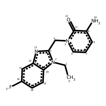 CCn1c(Cn2cccc(N)c2=O)nc2cc(F)ccc21